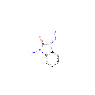 N/N=C1\C(=O)N(N)c2ccccc21